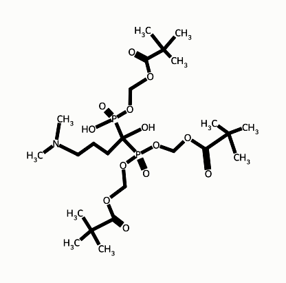 CN(C)CCCC(O)(P(=O)(O)OCOC(=O)C(C)(C)C)P(=O)(OCOC(=O)C(C)(C)C)OCOC(=O)C(C)(C)C